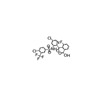 O=C(O)c1cccc(F)c1C(=O)c1ncc(Cl)cc1NS(=O)(=O)c1ccc(Cl)c(C(F)(F)F)c1